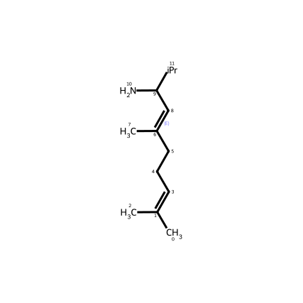 CC(C)=CCC/C(C)=C/C(N)C(C)C